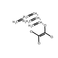 C=C.C=C.C=C.C=C.ClC(Cl)=C(Cl)Cl